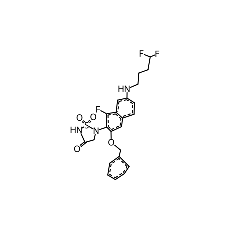 O=C1CN(c2c(OCc3ccccc3)cc3ccc(NCCCC(F)F)cc3c2F)S(=O)(=O)N1